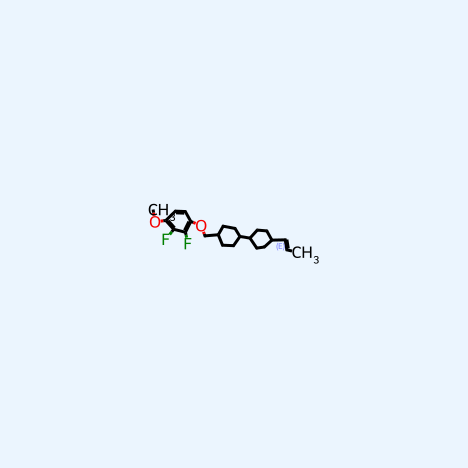 C/C=C/C1CCC(C2CCC(COc3ccc(OC)c(F)c3F)CC2)CC1